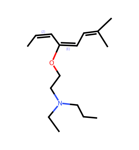 C/C=C\C(=C/C=C(C)C)OCCN(CC)CCC